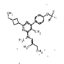 CC/C(C)=C/N(C)c1nc(C2CC(CC)C2)nc(-c2ccc(OC(F)(F)F)cc2)c1C